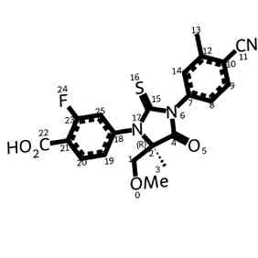 COC[C@]1(C)C(=O)N(c2ccc(C#N)c(C)c2)C(=S)N1c1ccc(C(=O)O)c(F)c1